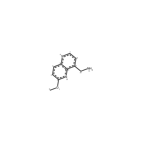 COc1ccc2nccc(CN)c2n1